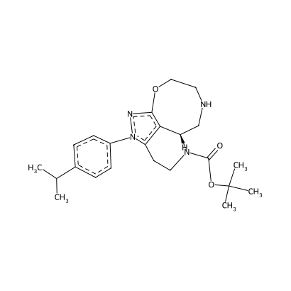 CC(C)c1ccc(-n2nc3c4c2CCN(C(=O)OC(C)(C)C)[C@H]4CNCCO3)cc1